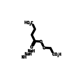 O=C(O)CCC(=O)OOCC(=O)O.[KH].[NaH].[NaH]